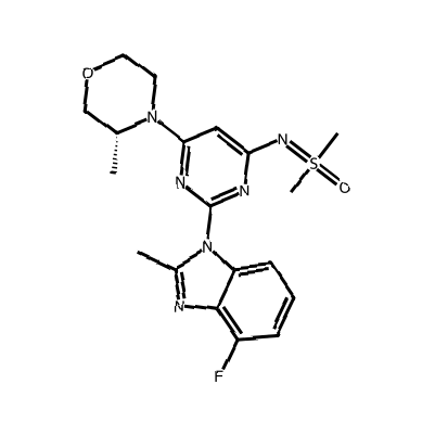 Cc1nc2c(F)cccc2n1-c1nc(N=S(C)(C)=O)cc(N2CCOC[C@H]2C)n1